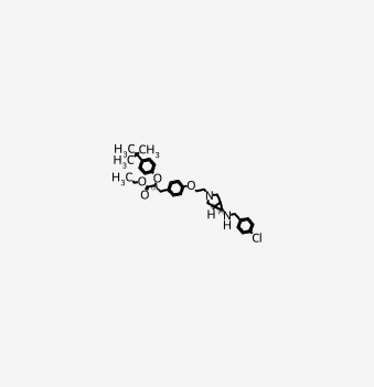 CCOC(=O)[C@H](Cc1ccc(OCCN2CC3[C@@H](C2)[C@@H]3NCc2ccc(Cl)cc2)cc1)Oc1ccc(C(C)(C)C)cc1